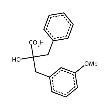 COc1cccc(CC(O)(Cc2ccccc2)C(=O)O)c1